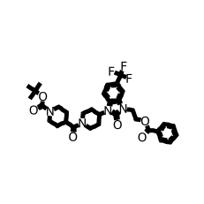 CC(C)(C)OC(=O)N1CCC(C(=O)N2CCC(n3c(=O)n(CCOC(=O)c4ccccc4)c4cc(C(F)(F)F)ccc43)CC2)CC1